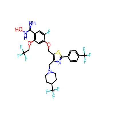 N=C(NO)c1cc(F)c(OCc2sc(-c3ccc(C(F)(F)F)cc3)nc2CN2CCC(C(F)(F)F)CC2)cc1OCC(F)(F)F